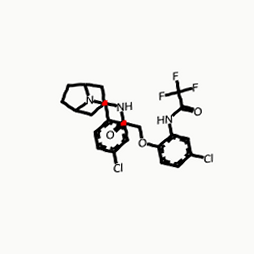 O=C(COc1ccc(Cl)cc1NC(=O)C(F)(F)F)NC1CC2CCC(C1)N2Cc1ccc(Cl)cc1